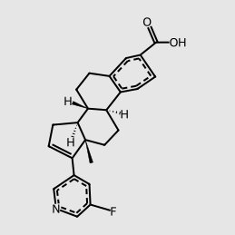 C[C@]12CC[C@@H]3c4ccc(C(=O)O)cc4CC[C@H]3[C@@H]1CC=C2c1cncc(F)c1